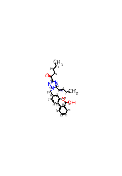 CC/C=C/c1nc(C(=O)CCCC)nn1Cc1ccc(-c2ccccc2C(=O)O)cc1